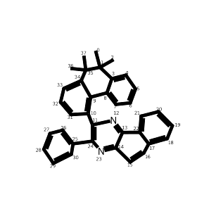 CC1(C)c2ccccc2-c2c(-c3nc4c(ccc5ccccc54)nc3-c3ccccc3)cccc2C1(C)C